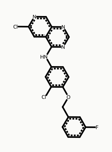 Fc1cccc(COc2ccc(Nc3ncnc4cnc(Cl)cc34)cc2Cl)c1